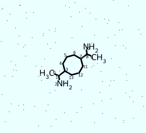 CC(N)C1CCCC(C(C)N)CCC1